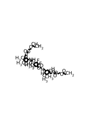 C=CC(=C)OCCOC(=O)NCC1(C)CC(NC(=O)Oc2c(C)c(F)c(OC(=O)NCC3CC(C)(C)CC(C)(CNC(=O)OCCOC(=O)C=C)C3)c(F)c2F)CC(C)(C)C1